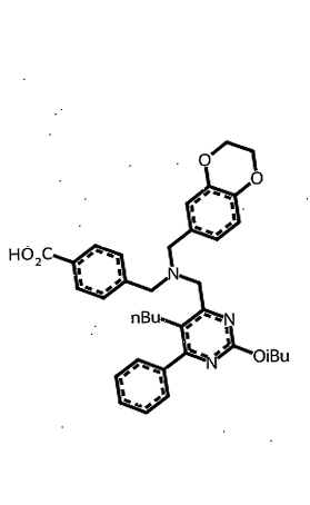 CCCCc1c(CN(Cc2ccc(C(=O)O)cc2)Cc2ccc3c(c2)OCCO3)nc(OCC(C)C)nc1-c1ccccc1